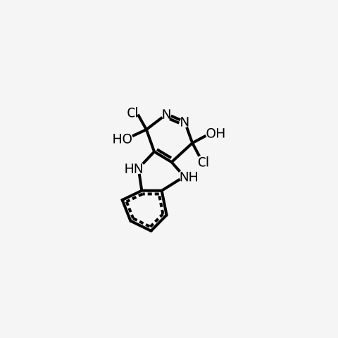 OC1(Cl)N=NC(O)(Cl)C2=C1Nc1ccccc1N2